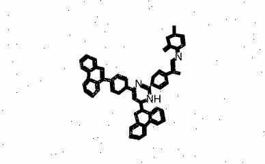 C=C1CC(C)C=C/C1=N/C=C(\C)C1=CC[C@@H](C2=NC(C3C=CC(c4cc5ccccc5c5ccccc45)=CC3)=CC(C3Cc4ccccc4-c4ccccc43)N2)C=C1